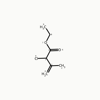 C=C(C)C(Cl)C(=O)OCC